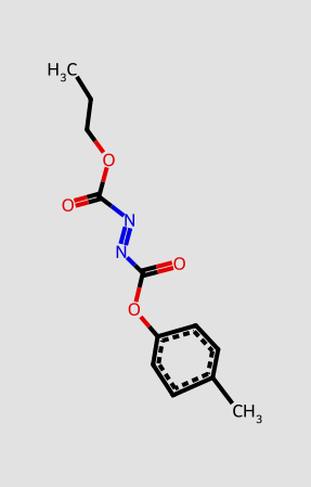 CCCOC(=O)/N=N/C(=O)Oc1ccc(C)cc1